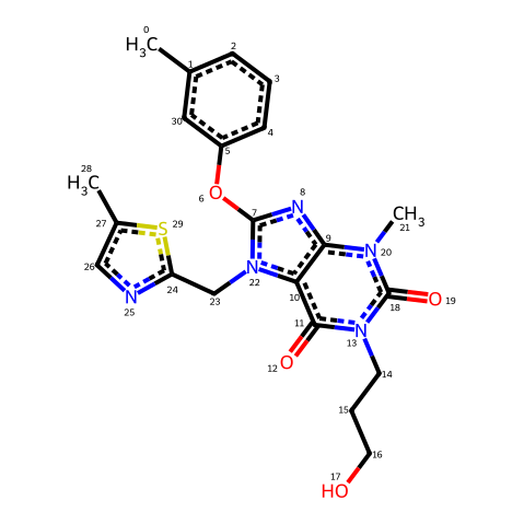 Cc1cccc(Oc2nc3c(c(=O)n(CCCO)c(=O)n3C)n2Cc2ncc(C)s2)c1